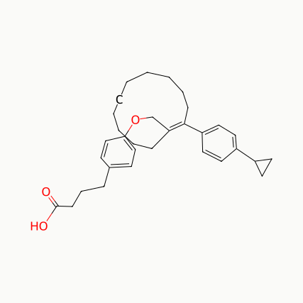 O=C(O)CCCc1ccc(OC/C2=C(/c3ccc(C4CC4)cc3)CCCCCCCCCC2)cc1